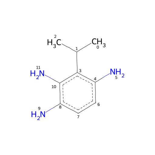 CC(C)c1c(N)ccc(N)c1N